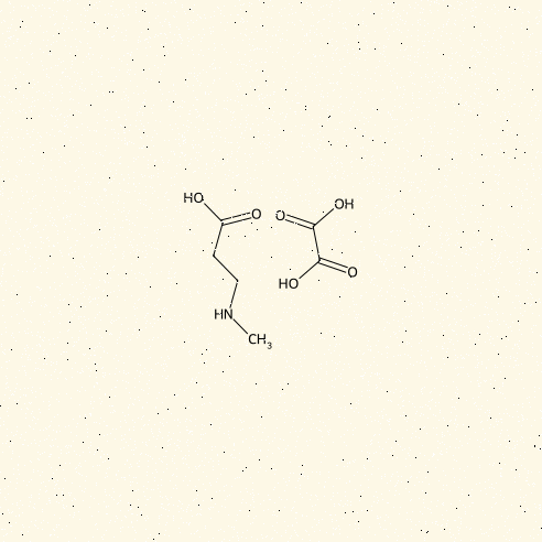 CNCCC(=O)O.O=C(O)C(=O)O